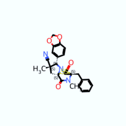 CN1C(=O)[C@@]23C[C@](C)(C#N)[C@H](c4ccc5c(c4)OCO5)N2C(=O)[C@]1(Cc1ccccc1)SS3